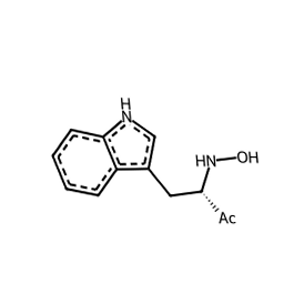 CC(=O)[C@H](Cc1c[nH]c2ccccc12)NO